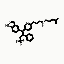 C=C(C)/C=C/CNCCCc1ccc(/C(=C(/CC(F)(F)F)c2ccccc2)c2ccc3[nH]ncc3c2)cn1